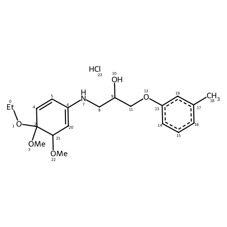 CCOC1(OC)C=CC(NCC(O)COc2cccc(C)c2)=CC1OC.Cl